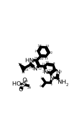 CC(C)Cn1c(N)nc2ccc(-c3nc(C4CC4)[nH]c3-c3ccccc3)nc21.CS(=O)(=O)O